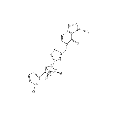 Cn1cnc2ncn(Cc3nc([C@]45C6=C(c7cccc(Cl)c7)C[C@@H]4[C@H]65)no3)c(=O)c21